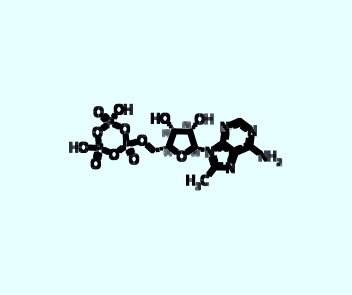 Cc1nc2c(N)ncnc2n1[C@@H]1O[C@H](COP2(=O)OP(=O)(O)OP(=O)(O)O2)[C@H](O)[C@@H]1O